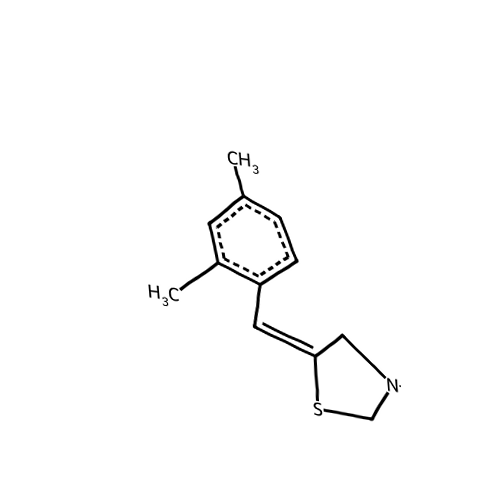 Cc1ccc(C=C2C[N]CS2)c(C)c1